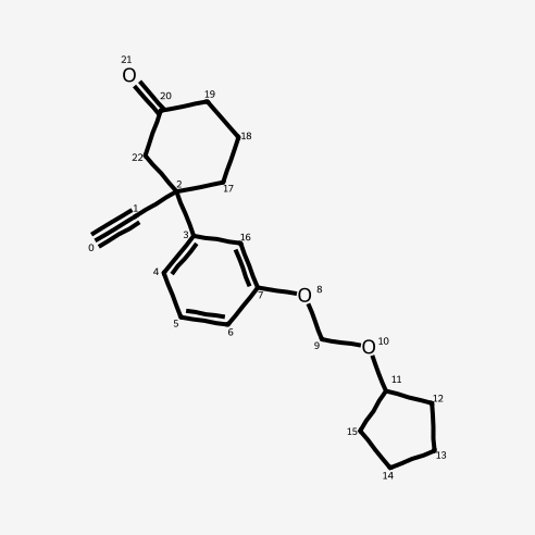 C#CC1(c2cccc(OCOC3CCCC3)c2)CCCC(=O)C1